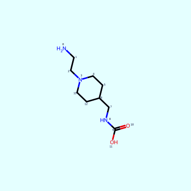 NCCN1CCC(CNC(=O)O)CC1